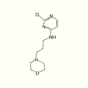 Clc1nccc(NCCCN2CCOCC2)n1